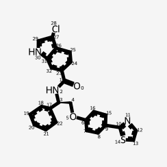 O=C(N[C@@H](COc1ccc(-c2nccs2)cc1)c1ccccc1)c1ccc2c(Cl)c[nH]c2c1